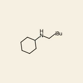 CCC(C)CNC1CCCCC1